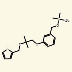 CC(C)(COc1cccc(CO[Si](C)(C)C(C)(C)C)c1)OCc1cccs1